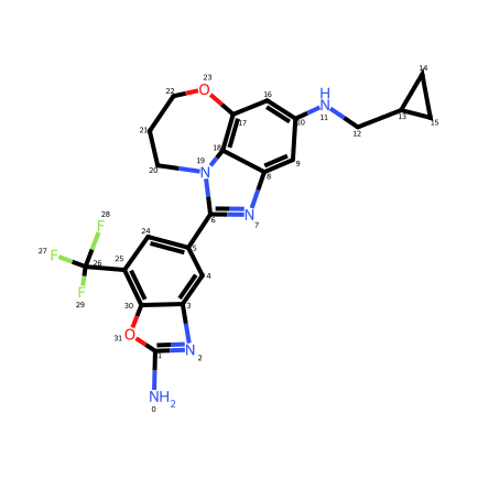 Nc1nc2cc(-c3nc4cc(NCC5CC5)cc5c4n3CCCO5)cc(C(F)(F)F)c2o1